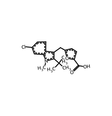 Cn1c(C(C)(C)C)c(Cc2ccc(C(=O)O)o2)c2ccc(Cl)cc21